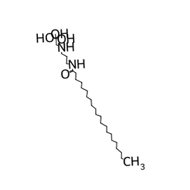 CCCCCCCCCCCCCCCCCCCCCC(=O)NCCCNCC(O)(O)O